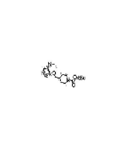 CC(C)(C)OC(=O)N1CCC(COc2sncc2N)CC1